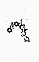 Cc1[nH]c(/C=C2\C(=O)Nc3ccc(S(=O)(=O)Cc4ccccc4)cc32)c(C)c1CC(=O)N1C[C@@H](C)N[C@@H](C)C1